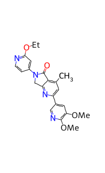 CCOc1cc(N2Cc3nc(-c4cnc(OC)c(OC)c4)cc(C)c3C2=O)ccn1